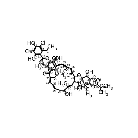 CCc1c(Cl)c(O)c(Cl)c(O)c1C(=O)O[C@@H]1[C@@H](O)[C@@H](C)[C@@H](OC/C2=C\C=C\C[C@H](O)/C(C)=C/[C@H](CC)[C@@H](O[C@@H]3OC(C)(C)C(OC(=O)C(C)C)[C@H](O)[C@@H]3O)/C(C)=C/C(C)=C/CC([C@@H](C)O)OC2=O)O[C@H]1C